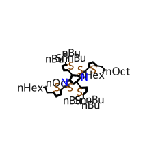 CCCCCCCCC(CCCCCC)Cc1ccc(-c2nc3c(-c4cc[c]([Sn]([CH2]CCC)([CH2]CCC)[CH2]CCC)s4)c4sc(-c5ccc(CC(CCCCCC)CCCCCCCC)s5)nc4c(-c4cc[c]([Sn]([CH2]CCC)([CH2]CCC)[CH2]CCC)s4)c3s2)s1